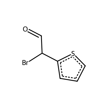 O=CC(Br)c1cccs1